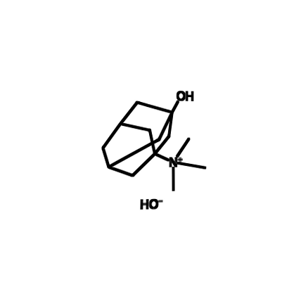 C[N+](C)(C)C12CC3CC(CC(O)(C3)C1)C2.[OH-]